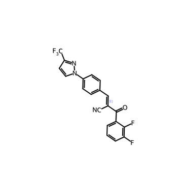 N#C/C(=C\c1ccc(-n2ccc(C(F)(F)F)n2)cc1)C(=O)c1cccc(F)c1F